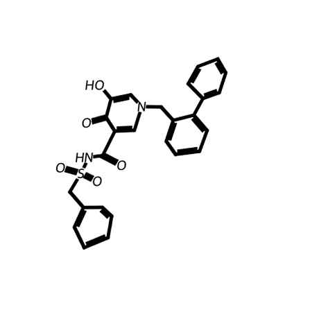 O=C(NS(=O)(=O)Cc1ccccc1)c1cn(Cc2ccccc2-c2ccccc2)cc(O)c1=O